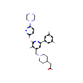 COC(=O)CC1CCN(Cc2cc(-c3cc(Cl)cc(Cl)c3)nc(Oc3ccc(N4CCNCC4)nn3)c2C)CC1